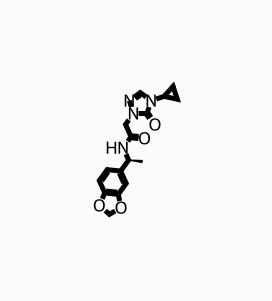 C[C@H](NC(=O)Cn1ncn(C2CC2)c1=O)c1ccc2c(c1)OCO2